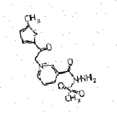 Cc1ccc(C(=O)C[n+]2cccc(C(=O)N(N)S(C)(=O)=O)c2)s1